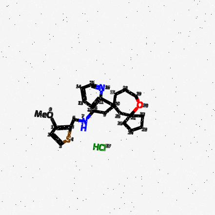 COc1ccsc1CNCCC1(c2ccccn2)CCCOC2(CCCC2)C1.Cl